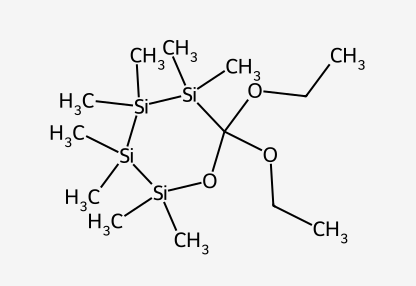 CCOC1(OCC)O[Si](C)(C)[Si](C)(C)[Si](C)(C)[Si]1(C)C